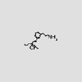 CCCC(O)(C=Cc1cccc(CCCN)c1)CCC